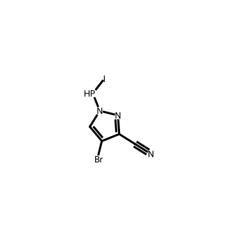 N#Cc1nn(PI)cc1Br